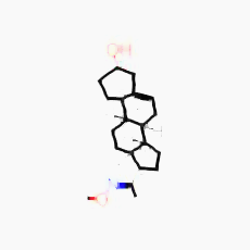 CON=C(C)[C@H]1CC[C@H]2[C@@H]3CC=C4C[C@@H](O)CC[C@]4(C)[C@H]3CC[C@]12C